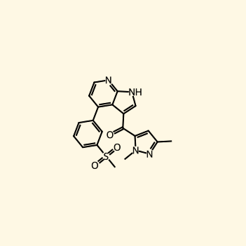 Cc1cc(C(=O)c2c[nH]c3nccc(-c4cccc(S(C)(=O)=O)c4)c23)n(C)n1